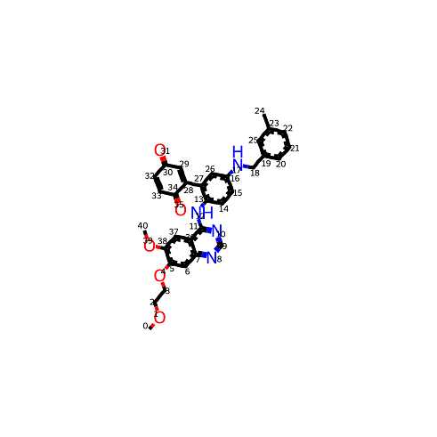 COCCOc1cc2ncnc(Nc3ccc(NCc4cccc(C)c4)cc3C3=CC(=O)C=CC3=O)c2cc1OC